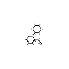 O=Cc1ccccc1C1CCCCC1